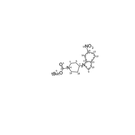 CC(C)(C)OC(=O)N1CCC(n2ccc3ccc([N+](=O)[O-])cc32)CC1